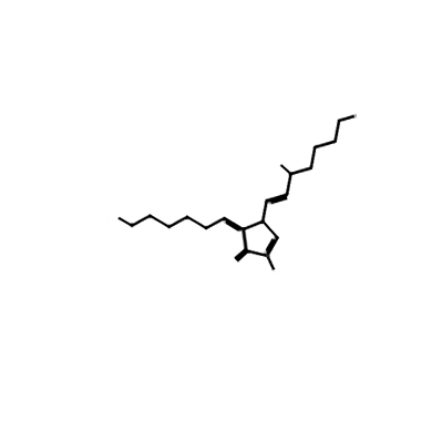 CCCCCC/C=C1\C(=O)C(Cl)=CC1/C=C/C(O)CCCCC